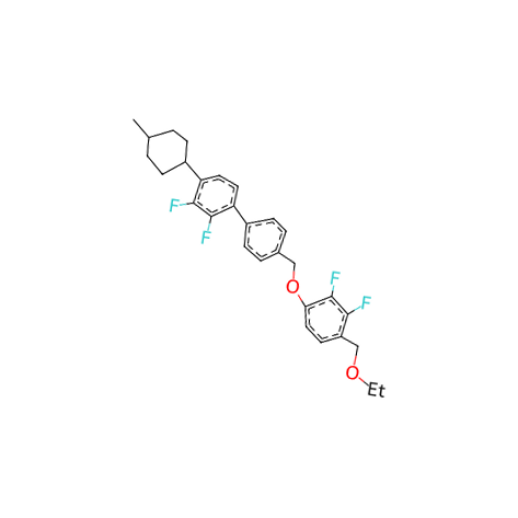 CCOCc1ccc(OCc2ccc(-c3ccc(C4CCC(C)CC4)c(F)c3F)cc2)c(F)c1F